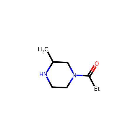 CCC(=O)N1CCNC(C)C1